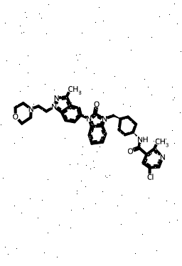 Cc1ncc(Cl)cc1C(=O)N[C@H]1CC[C@H](Cn2c(=O)n(-c3ccc4c(c3)c(C)nn4CCN3CCOCC3)c3ccccc32)CC1